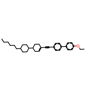 CCCCCCC1CCC(C2CC=C(C#Cc3ccc(-c4ccc(OCC)cc4)cc3)CC2)CC1